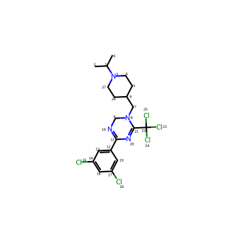 CC(C)N1CCC(CN2CN=C(c3cc(Cl)cc(Cl)c3)N=C2C(Cl)(Cl)Cl)CC1